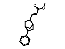 COC(=O)C=CC1CC2CC1CC2c1ccccc1